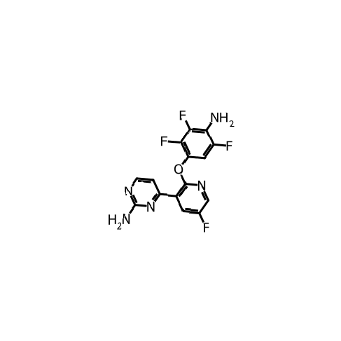 Nc1nccc(-c2cc(F)cnc2Oc2cc(F)c(N)c(F)c2F)n1